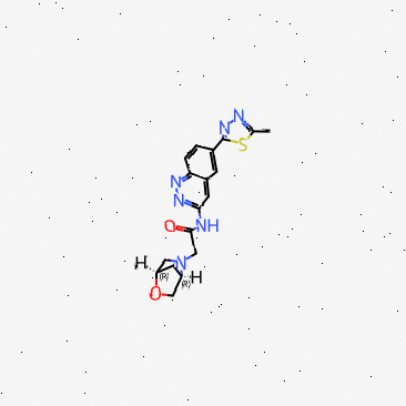 Cc1nnc(-c2ccc3nnc(NC(=O)CN4C[C@H]5C[C@@H]4CO5)cc3c2)s1